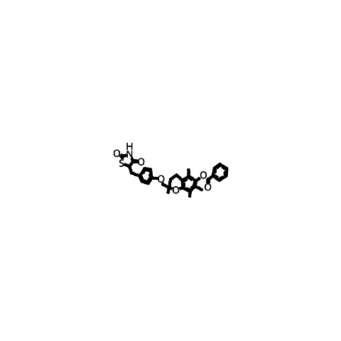 Cc1c(C)c2c(c(C)c1OC(=O)c1ccccc1)CCC(C)(COc1ccc(CC3SC(=O)NC3=O)cc1)O2